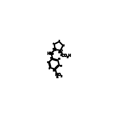 O=C(O)[C@@H]1CCCN1Nc1ccc([N+](=O)[O-])cc1